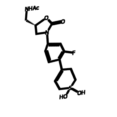 CC(=O)NC[C@H]1CN(c2ccc(C3=CCS(O)(O)CC3)c(F)c2)C(=O)O1